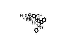 CN(C)S(=O)(=O)c1ccc(O)c(N=Nc2c(O)c(C(=O)Nc3ccccc3)cc3ccccc23)c1